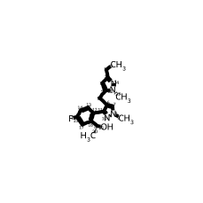 CCc1cc(Cc2cn(C)nc2-c2ccc(F)cc2[C@@H](C)O)n(C)n1